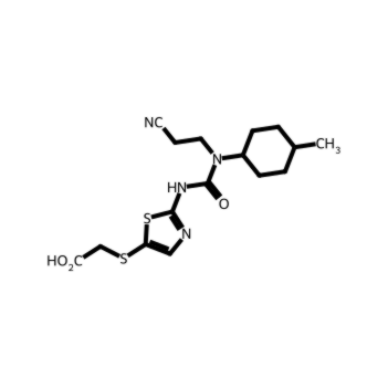 CC1CCC(N(CCC#N)C(=O)Nc2ncc(SCC(=O)O)s2)CC1